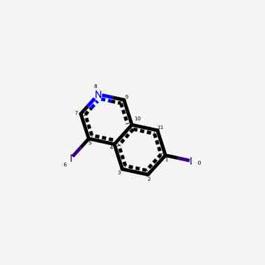 Ic1ccc2c(I)cncc2c1